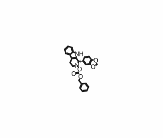 O=C(OCc1ccccc1)ON1CCc2c([nH]c3ccccc23)[C@H]1c1ccc2c(c1)OCO2